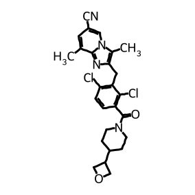 Cc1cc(C#N)cn2c(C)c(Cc3c(Cl)ccc(C(=O)N4CCC(C5COC5)CC4)c3Cl)nc12